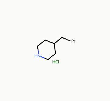 CC(C)CC1CCNCC1.Cl